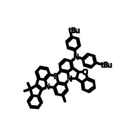 Cc1cc2c3c(c1)-n1c4c(c5cccc(c51)B3c1ccc(N(c3ccc(C(C)(C)C)cc3)c3ccc(C(C)(C)C)cc3)c3c1N2C1c2ccccc2OC31)C(C)(C)c1ccccc1-4